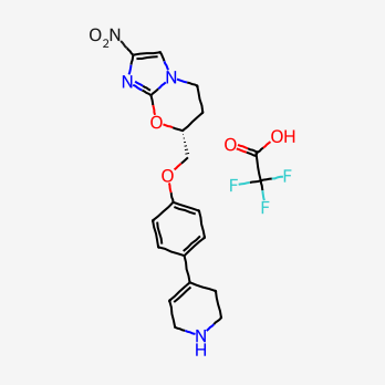 O=C(O)C(F)(F)F.O=[N+]([O-])c1cn2c(n1)O[C@@H](COc1ccc(C3=CCNCC3)cc1)CC2